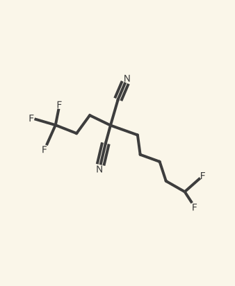 N#CC(C#N)(CCCCC(F)F)CCC(F)(F)F